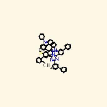 CCc1ccccc1-c1cc(C2=NC(c3cccc(-c4ccccc4)c3)=NC(c3ccc(-c4ccccc4)cc3-n3c4ccccc4c4c(-c5cccc6c5c5ccccc5n6-c5ccccc5)cccc43)N2)ccc1SC